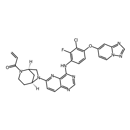 C=CC(=O)N1CC[C@H]2C[C@@H]1CN2c1ccc2ncnc(Nc3ccc(Oc4ccn5ncnc5c4)c(Cl)c3F)c2n1